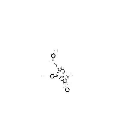 C=C([C@H](C)C[C@H]1CC[C@@H]2O[C@@H](CCCOC(=O)c3ccc(OC)cc3)C[C@]2(CI)O1)[C@@H](CC1O[C@H](C[C@H](C)CC)[C@H](C)[C@H]1CS(=O)(=O)c1ccccc1)OC(=O)c1ccc(C)cc1